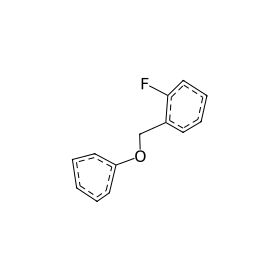 Fc1ccccc1COc1ccccc1